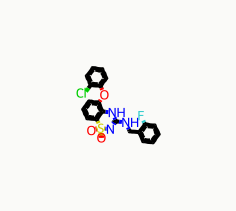 O=S1(=O)N=C(NCc2ccccc2F)Nc2c(Oc3ccccc3Cl)cccc21